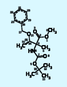 COC(=O)C(C)(NC(=O)OC(C)(C)C)[C@@H](C)OCc1ccccc1